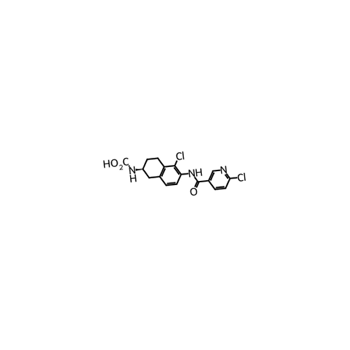 O=C(O)N[C@H]1CCc2c(ccc(NC(=O)c3ccc(Cl)nc3)c2Cl)C1